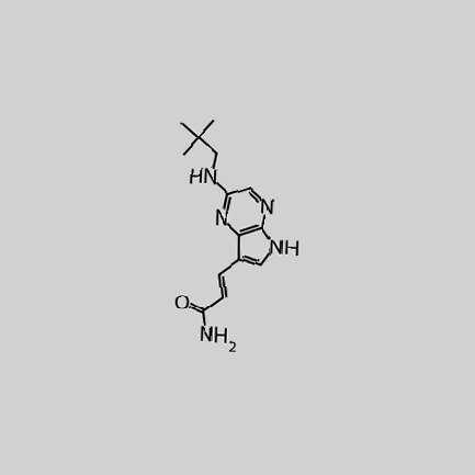 CC(C)(C)CNc1cnc2[nH]cc(C=CC(N)=O)c2n1